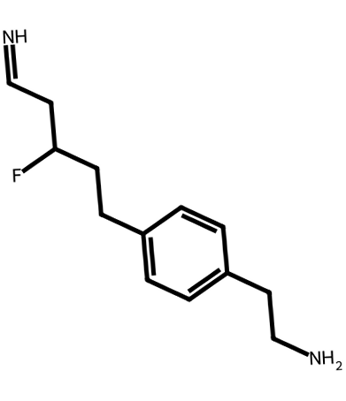 N=CCC(F)CCc1ccc(CCN)cc1